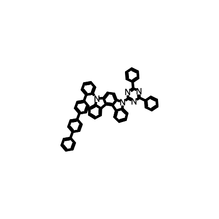 c1ccc(-c2ccc(-c3ccc(-c4ccccc4-n4c5ccccc5c5c6c7ccccc7n(-c7nc(-c8ccccc8)nc(-c8ccccc8)n7)c6ccc54)cc3)cc2)cc1